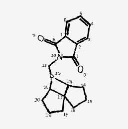 O=C1c2ccccc2C(=O)N1CP1C2CCCC23CCCC13